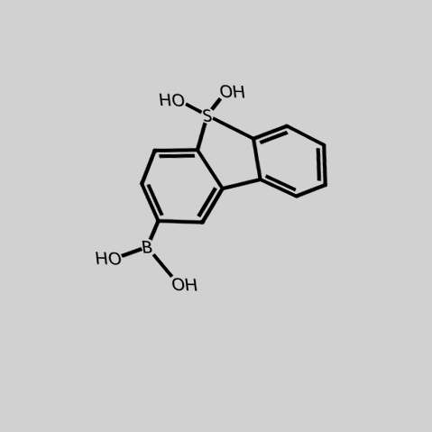 OB(O)c1ccc2c(c1)-c1ccccc1S2(O)O